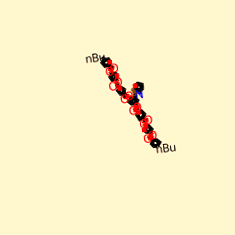 CCCCC1CCC(C(=O)Oc2ccc(OC(=O)C3CCC(C(=O)Oc4ccc(OC(=O)[C@H]5CC[C@H](C(=O)Oc6ccc(OC(=O)C7CCC(CCCC)CC7)cc6)CC5)cc4-c4nc5ccccc5s4)CC3)cc2)CC1